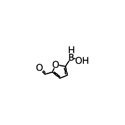 O=Cc1ccc(BO)o1